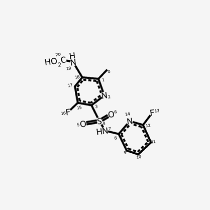 Cc1nc(S(=O)(=O)Nc2cccc(F)n2)c(F)cc1NC(=O)O